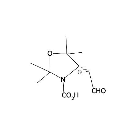 CC1(C)OC(C)(C)N(C(=O)O)[C@H]1CC=O